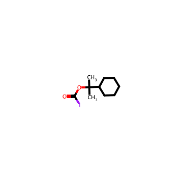 CC(C)(OC(=O)I)C1CCCCC1